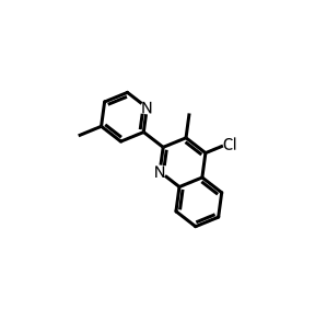 Cc1ccnc(-c2nc3ccccc3c(Cl)c2C)c1